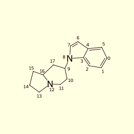 c1ccc2c(c1)ccn2C1CCN2CCCC2C1